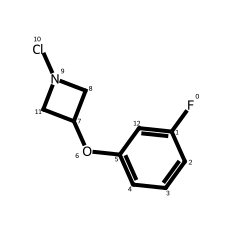 Fc1cccc(OC2CN(Cl)C2)c1